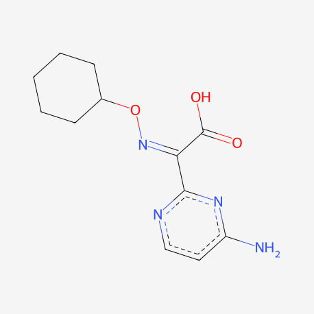 Nc1ccnc(C(=NOC2CCCCC2)C(=O)O)n1